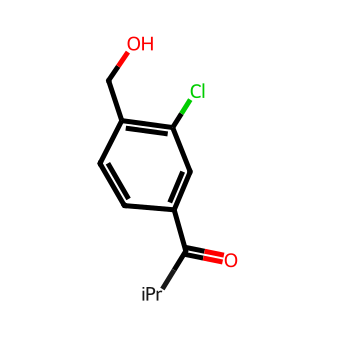 CC(C)C(=O)c1ccc(CO)c(Cl)c1